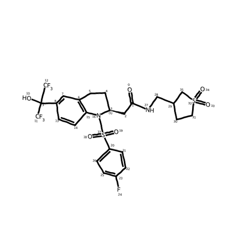 O=C(C[C@@H]1CCc2cc(C(O)(C(F)(F)F)C(F)(F)F)ccc2N1S(=O)(=O)c1ccc(F)cc1)NCC1CCS(=O)(=O)C1